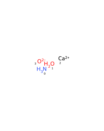 N.O.[Ca+2].[O-2]